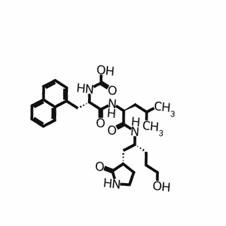 CC(C)C[C@H](NC(=O)[C@H](Cc1cccc2ccccc12)NC(=O)O)C(=O)N[C@H](CCCO)C[C@@H]1CCNC1=O